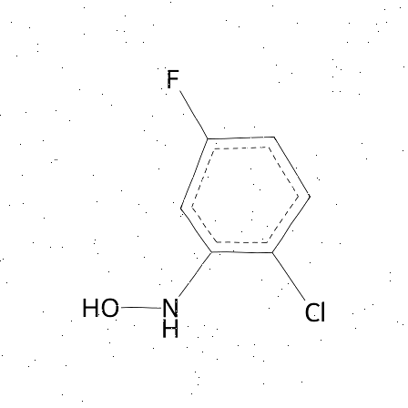 ONc1cc(F)ccc1Cl